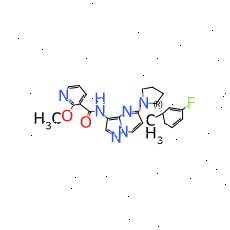 COc1ncccc1C(=O)Nc1cnn2ccc(N3CCC[C@@H]3C3(C)C=C(F)C=CC3)nc12